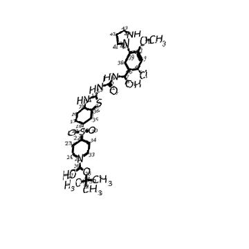 COC1=C[C@@H](Cl)C(C(O)NC(=O)N[C@H]2NC3CC[C@@H](S(=O)(=O)C4CCN(C(O)OC(C)(C)C)CC4)CC3S2)C[C@H]1N1CCCN1